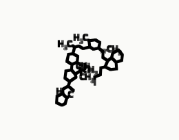 CC(CCC1CC([C@H](C)CC2C(CCCI)CCC3CCCCC32)CCC1C)C1CCC(C2CCC(C3CCC4CCCC[C@H]4C3)CC2C(C)(C)C)C(C)C1